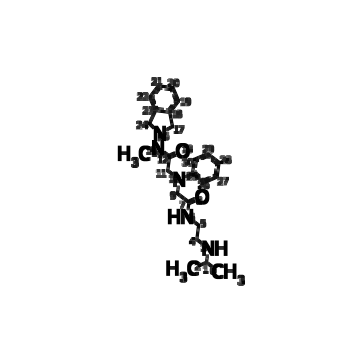 CC(C)NCCNC(=O)CN(CC(=O)N(C)N1Cc2ccccc2C1)c1ccccc1